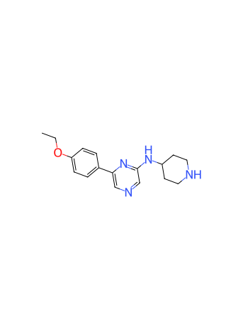 CCOc1ccc(-c2cncc(NC3CCNCC3)n2)cc1